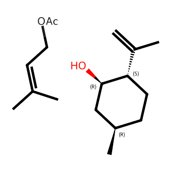 C=C(C)[C@@H]1CC[C@@H](C)C[C@H]1O.CC(=O)OCC=C(C)C